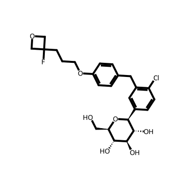 OC[C@H]1O[C@@H](c2ccc(Cl)c(Cc3ccc(OCCCC4(F)COC4)cc3)c2)[C@H](O)[C@@H](O)[C@@H]1O